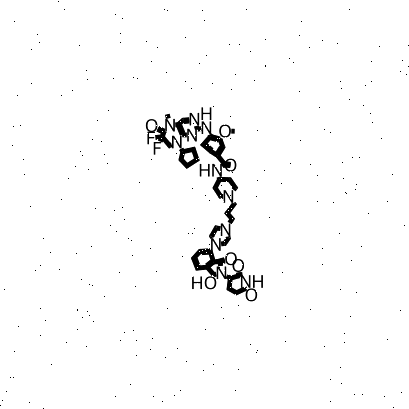 COc1cc(C(=O)NC2CCN(CCCN3CCN(c4cccc5c4C(=O)N(C4CCC(=O)NC4=O)C5O)CC3)CC2)ccc1Nc1ncc2c(n1)N(C1CCCC1)CC(F)(F)C(=O)N2C